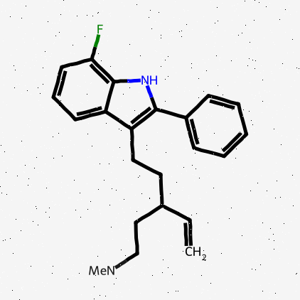 C=CC(CCNC)CCc1c(-c2ccccc2)[nH]c2c(F)cccc12